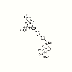 COC(=O)N[C@H](C(=O)N1CCCC1c1nc(-c2ccc(-c3ccc(-c4c[nH]c(C5CCC6(CCC(F)(F)CC6)N5C(=O)[C@H](C)NC(=O)O)n4)cc3)cc2)c[nH]1)C(C)C